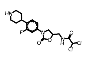 O=C(NCC1CN(c2ccc(C3CCNCC3)c(F)c2)C(=O)O1)C(Cl)Cl